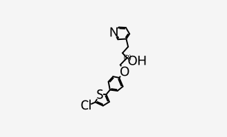 O[C@H](CCc1cccnc1)COc1ccc(-c2ccc(Cl)s2)cc1